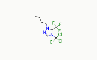 CCCCN1N=CN(C(Cl)(Cl)Cl)C1C(F)(F)F